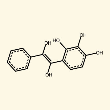 OC(=C(O)c1ccc(O)c(O)c1O)c1ccccc1